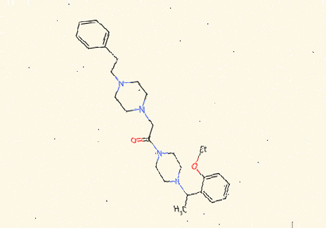 CCOc1ccccc1C(C)N1CCN(C(=O)CN2CCN(CCc3ccccc3)CC2)CC1